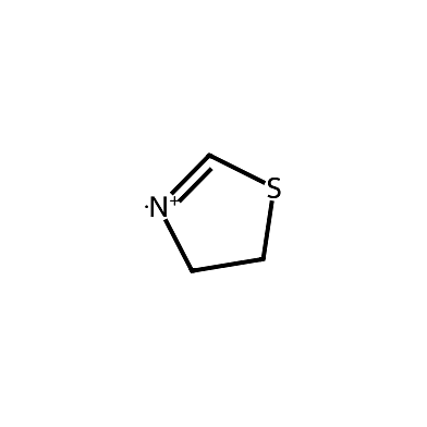 C1=[N+]CCS1